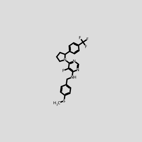 CSc1ccc(CNc2ncnc(N3CCCC3c3ccc(C(F)(F)F)cc3)c2F)cc1